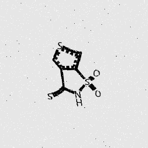 O=S1(=O)NC(=S)c2cscc21